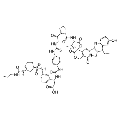 CCCNC(=O)NC1=CC=CC(S(=O)(=O)Nc2cccc(C(CC(=O)O)NC(=O)Nc3ccc(NC(=S)NCC(=O)N4CCC[C@H]4C(=O)N[C@H](C(=O)O[C@]4(CC)C(=O)OCc5c4cc4n(c5=O)Cc5c-4nc4ccc(O)cc4c5CC)C(C)C)cc3)c2)C1